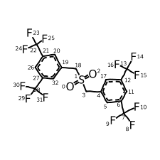 O=S(=O)(Cc1cc(C(F)(F)F)cc(C(F)(F)F)c1)Cc1cc(C(F)(F)F)cc(C(F)(F)F)c1